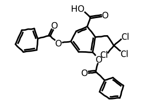 O=C(Oc1cc(OC(=O)c2ccccc2)c(CC(Cl)(Cl)Cl)c(C(=O)O)c1)c1ccccc1